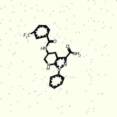 NC(=O)c1nn(-c2ccccc2)c2c1CC(NC(=O)c1cccc(C(F)(F)F)c1)CN2